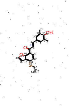 Cc1cc(/C=C/C(=O)c2ccc(SCC(C)C)c3ccoc23)cc(C)c1O